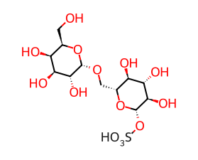 O=S(=O)(O)O[C@@H]1O[C@H](CO[C@H]2O[C@H](CO)[C@H](O)[C@H](O)[C@H]2O)[C@@H](O)[C@H](O)[C@H]1O